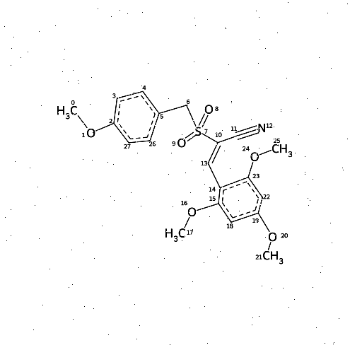 COc1ccc(CS(=O)(=O)C(C#N)=Cc2c(OC)cc(OC)cc2OC)cc1